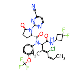 C/C=C\C(Cl)=C(/C)C(C(=O)NC1CC(F)(F)C1)N(C(=O)[C@@H]1CCC(=O)N1c1nccc(C#N)n1)c1cccc(OC(F)(F)F)c1